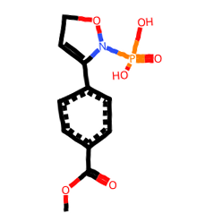 COC(=O)c1ccc(C2=CCON2P(=O)(O)O)cc1